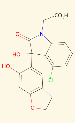 O=C(O)CN1C(=O)C(O)(c2cc3c(cc2O)OCC3)c2c(Cl)cccc21